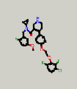 COc1ccc(F)c(CN(C(=O)C2=C(c3ccc(OCCOc4c(F)ccc(Cl)c4F)cc3)CCNC2)C2CC2)c1